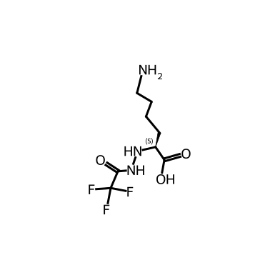 NCCCC[C@H](NNC(=O)C(F)(F)F)C(=O)O